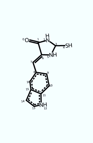 O=C1NC(S)N/C1=C\c1ccc2[nH]ccc2c1